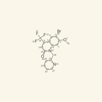 COc1cc2c(cc1Br)c(C(F)(F)F)cc(=O)n2Cc1ccccn1